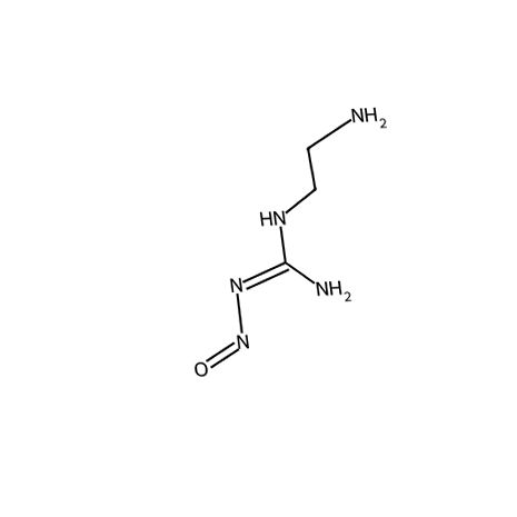 NCCN/C(N)=N/N=O